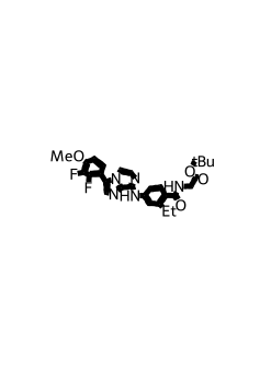 CCc1cc(Nc2nccn3c(-c4ccc(OC)c(F)c4F)cnc23)ccc1C(=O)NCC(=O)OC(C)(C)C